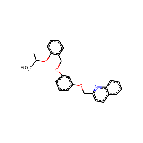 CCOC(=O)C(C)Oc1ccccc1COc1cccc(OCc2ccc3ccccc3n2)c1